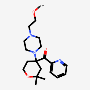 CC(C)OCCN1CCN(C2(C(=O)c3ccccn3)CCOC(C)(C)C2)CC1